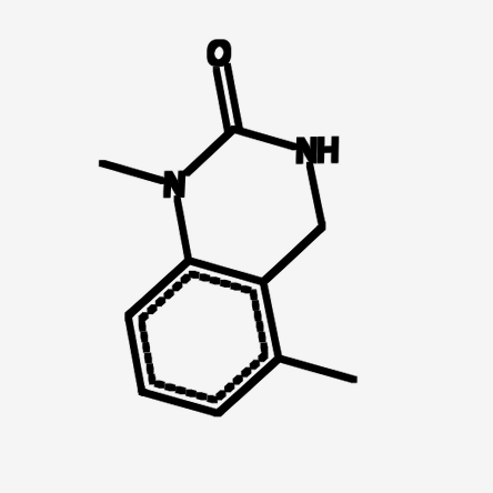 Cc1cccc2c1CNC(=O)N2C